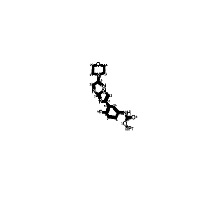 CC(C)OC(=O)Nc1ccc(F)c(-c2cn3nc(N4CCOCC4)cnc3n2)c1